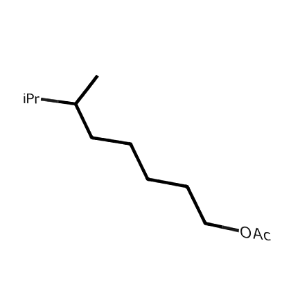 CC(=O)OCCCCCC(C)C(C)C